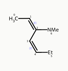 C/C=C(\C=C/CC)NC